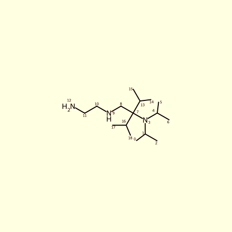 CC(C)N(C(C)C)C(CNCCN)(C(C)C)C(C)C